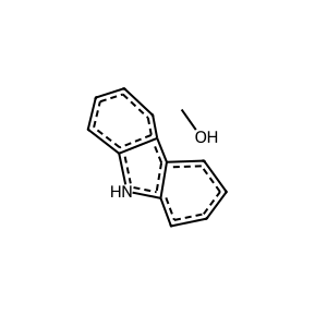 CO.c1ccc2c(c1)[nH]c1ccccc12